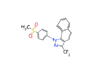 CS(=O)(=O)c1ccc(-n2nc(C(F)(F)F)c3ccc4c[c]ccc4c32)cc1